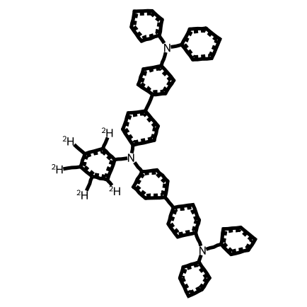 [2H]c1c([2H])c([2H])c(N(c2ccc(-c3ccc(N(c4ccccc4)c4ccccc4)cc3)cc2)c2ccc(-c3ccc(N(c4ccccc4)c4ccccc4)cc3)cc2)c([2H])c1[2H]